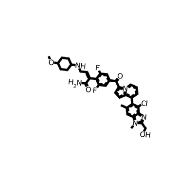 COC1CCC(NCC=C(C(N)=O)c2c(F)cc(C(=O)c3ccc4c(-c5c(C)cc6c(nc(CO)n6C)c5Cl)cccn34)cc2F)CC1